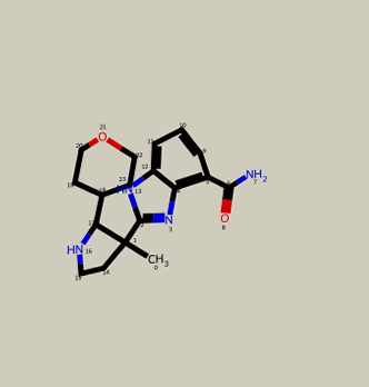 CC1(c2nc3c(C(N)=O)cccc3[nH]2)CCNC1C1CCOCC1